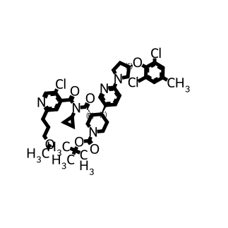 COCCCc1cc(C(=O)N(C(=O)[C@H]2CN(C(=O)OC(C)(C)C)CC[C@@H]2c2ccc(N3CC[C@H](Oc4c(Cl)cc(C)cc4Cl)C3)nc2)C2CC2)c(Cl)cn1